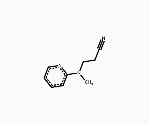 CN(CCC#N)c1ccccn1